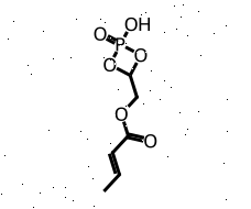 CC=CC(=O)OCC1OP(=O)(O)O1